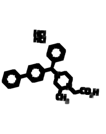 CC1CN([C@H](c2ccccc2)c2ccc(-c3ccccc3)cc2)CCN1CC(=O)O.Cl.Cl